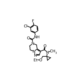 CCOCC1(N(C)C(=O)c2cnn3c2CN(C(=O)Nc2ccc(F)c(Cl)c2)CC3)CC1